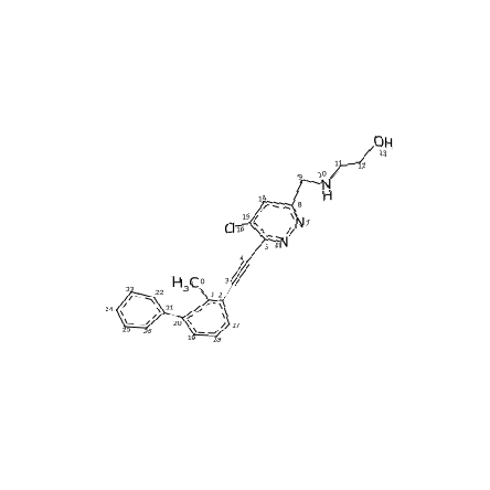 Cc1c(C#Cc2nnc(CNCCO)cc2Cl)cccc1-c1ccccc1